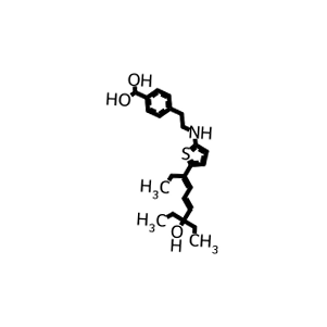 CCC(=CC=CC(O)(CC)CC)c1ccc(NCCc2ccc(C(O)O)cc2)s1